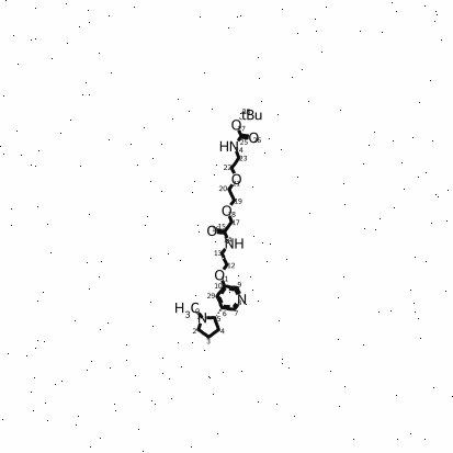 CN1CCC[C@H]1c1cncc(OCCNC(=O)COCCOCCNC(=O)OC(C)(C)C)c1